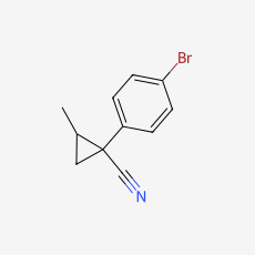 CC1CC1(C#N)c1ccc(Br)cc1